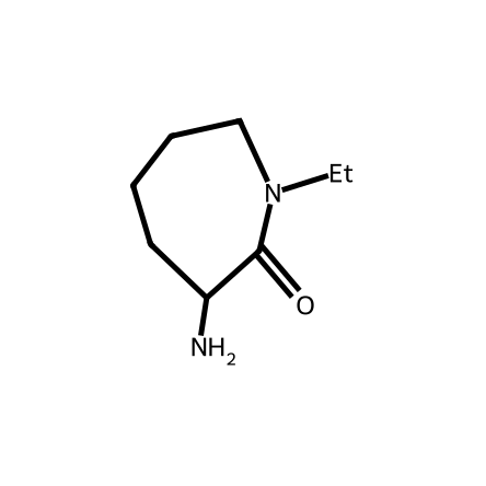 CCN1CCCCC(N)C1=O